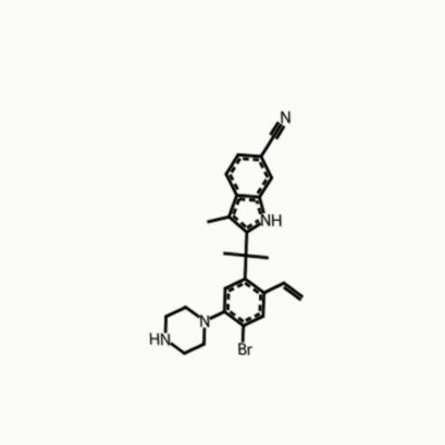 C=Cc1cc(Br)c(N2CCNCC2)cc1C(C)(C)c1[nH]c2cc(C#N)ccc2c1C